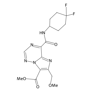 COCc1nc2c(C(=O)NC3CCC(F)(F)CC3)ncnn2c1C(=O)OC